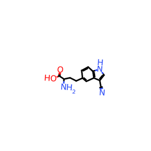 N#Cc1c[nH]c2ccc(CCC(N)C(=O)O)cc12